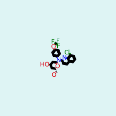 O=C[C@@H]1C[C@H](O)C[C@H](N(c2ccc(OC(F)(F)F)cc2)c2ccc3cccc(Cl)c3n2)O1